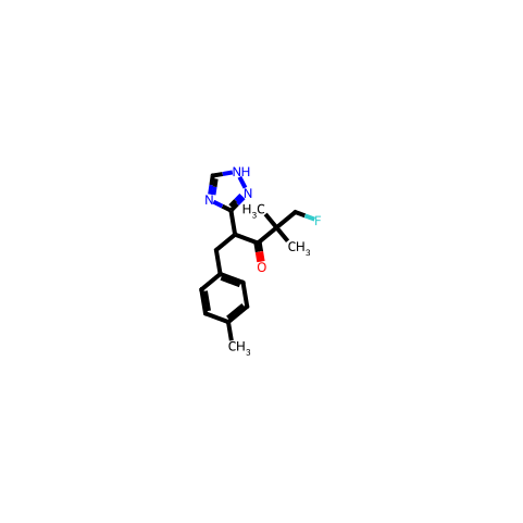 Cc1ccc(CC(C(=O)C(C)(C)CF)c2nc[nH]n2)cc1